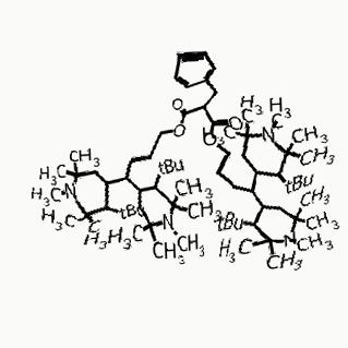 CN1C(C)(C)CC(C(CCCOC(=O)C(Cc2ccccc2)C(=O)OCCCC(C2CC(C)(C)N(C)C(C)(C)C2C(C)(C)C)C2CC(C)(C)N(C)C(C)(C)C2C(C)(C)C)C2CC(C)(C)N(C)C(C)(C)C2C(C)(C)C)C(C(C)(C)C)C1(C)C